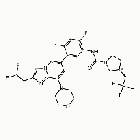 Cc1cc(F)c(NC(=O)N2CC[C@@H](CC(F)(F)F)C2)cc1-c1cc(N2CCOCC2)c2nc(CC(F)F)cn2c1